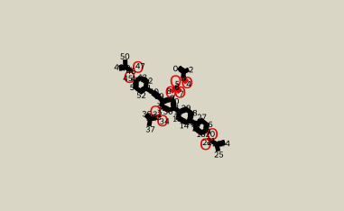 C=C(C)C(=O)OC(=O)Oc1cc(-c2ccc(-c3ccc(OC(=O)C(=C)C)cc3)cc2)cc(OC(=O)C(=C)C)c1C#Cc1ccc(OC(=O)C(=C)C)cc1